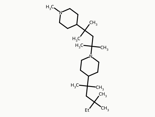 CCC(C)(C)CC(C)(C)C1CCN(C(C)(C)CC(C)(C)C2CCN(C)CC2)CC1